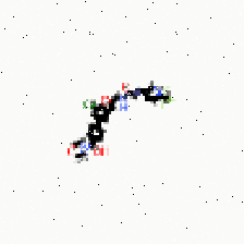 O=C(/C=C/c1ccc(C(F)(F)F)nc1)NCc1cc2cc(-c3ccc(C(O)N4CCOCC4)cc3)cc(Cl)c2o1